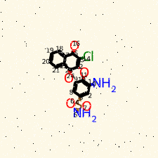 Nc1cc(S(N)(=O)=O)ccc1OC1=C(Cl)C(=O)c2ccccc2C1=O